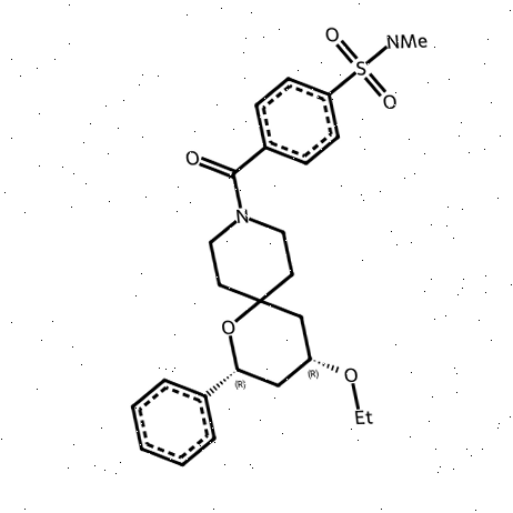 CCO[C@@H]1C[C@H](c2ccccc2)OC2(CCN(C(=O)c3ccc(S(=O)(=O)NC)cc3)CC2)C1